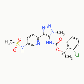 C[C@@H](OC(=O)Nc1c(-c2ccc(NS(C)(=O)=O)cn2)nnn1C)c1ccccc1Cl